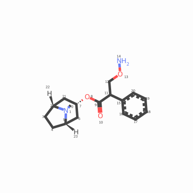 CN1[C@@H]2CC[C@H]1C[C@@H](OC(=O)C(CON)c1ccccc1)C2